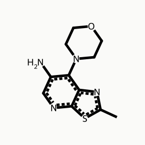 Cc1nc2c(N3CCOCC3)c(N)cnc2s1